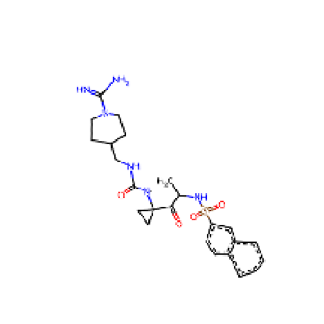 CC(NS(=O)(=O)c1ccc2ccccc2c1)C(=O)C1([N]C(=O)NCC2CCN(C(=N)N)CC2)CC1